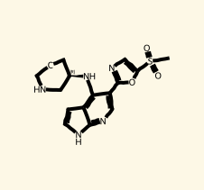 CS(=O)(=O)c1cnc(-c2cnc3[nH]ccc3c2N[C@@H]2CCCNC2)o1